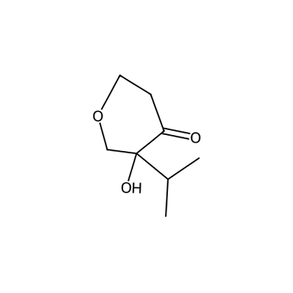 CC(C)C1(O)COCCC1=O